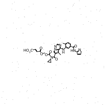 Cc1ccc(C(=O)NC2=NCC=C2)cc1Nc1ncnn2cc(C(=O)N(C(=O)OCOC(=O)/C=C/C(=O)O)C3CC3)c(C)c12